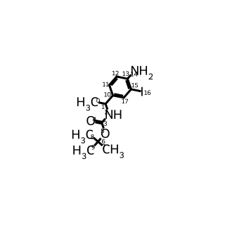 CC(NC(=O)OC(C)(C)C)c1ccc(N)c(I)c1